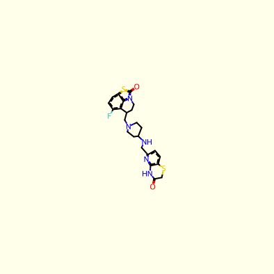 O=C1CSc2ccc(CNC3CCN(CC4CCn5c(=O)sc6ccc(F)c4c65)CC3)nc2N1